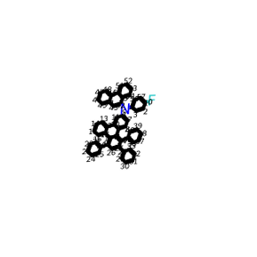 Fc1ccc(N(c2ccc3c(c2)c2ccccc2c2c(-c4ccccc4)cc(-c4ccccc4)c(-c4ccccc4)c32)c2cc3ccccc3c3ccccc23)cc1